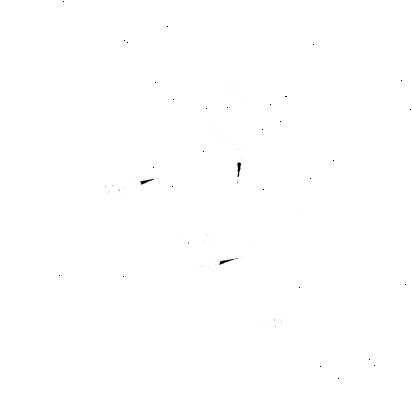 CO[C@H]1C=C(C(=O)O)O[C@@H]([C@H](O)[C@H](O)CO)[C@@H]1NC(C)=O